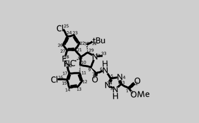 COC(=O)c1nc(NC(=O)[C@H]2[C@H](c3cccc(Cl)c3F)[C@@](C#N)(c3ccc(Cl)cc3F)[C@H](CC(C)(C)C)N2C)n[nH]1